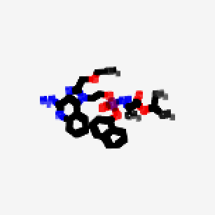 CCOCc1nc2c(N)nc3ccccc3c2n1CCOP(=O)(N[C@@H](C)C(=O)OC(C)C)Oc1cccc2ccccc12